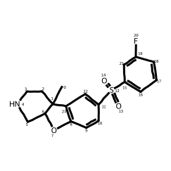 CC12CCNCC1Oc1ccc(S(=O)(=O)c3cccc(F)c3)cc12